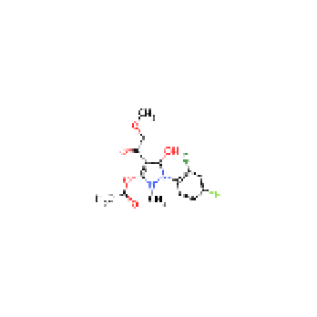 COCC(=O)C1=C(OC(C)=O)N(C)N(c2ccc(F)cc2Cl)C1O